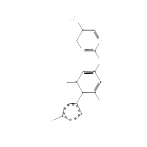 COC1C=NC(OC2=CC(C)C(c3csc(N)n3)C(C)=C2)=NC1